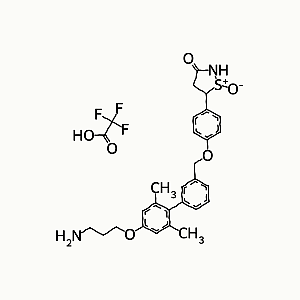 Cc1cc(OCCCN)cc(C)c1-c1cccc(COc2ccc(C3CC(=O)N[S+]3[O-])cc2)c1.O=C(O)C(F)(F)F